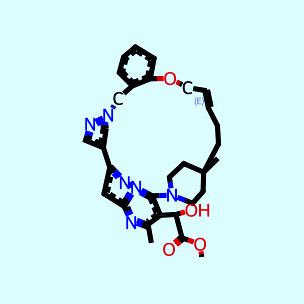 COC(=O)C(O)c1c(C)nc2cc3nn2c1N1CCC(C)(CC/C=C/COc2ccccc2Cn2cc-3cn2)CC1